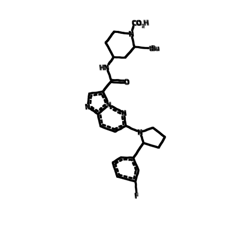 CC(C)(C)C1CC(NC(=O)c2cnc3ccc(N4CCCC4c4cccc(F)c4)nn23)CCN1C(=O)O